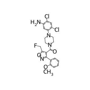 COc1ccccc1-c1noc(CF)c1C(=O)N1CCN(c2cc(N)c(Cl)cc2Cl)CC1